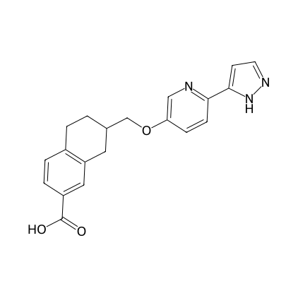 O=C(O)c1ccc2c(c1)CC(COc1ccc(-c3ccn[nH]3)nc1)CC2